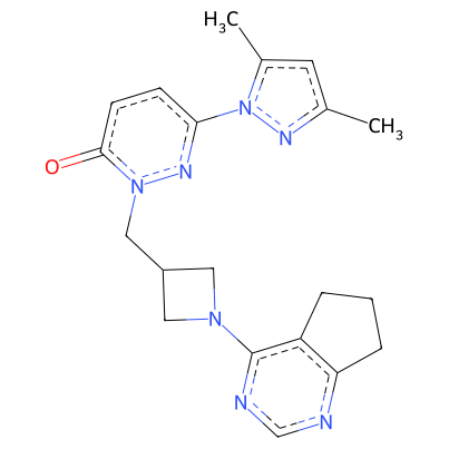 Cc1cc(C)n(-c2ccc(=O)n(CC3CN(c4ncnc5c4CCC5)C3)n2)n1